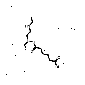 CCNCCN(CC)OC(=O)CCCCC(=O)O